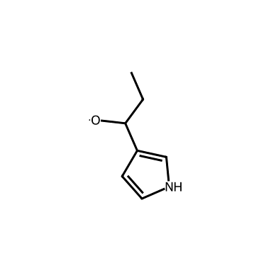 CCC([O])c1cc[nH]c1